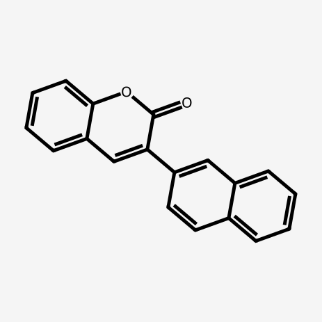 O=c1oc2ccccc2cc1-c1ccc2ccccc2c1